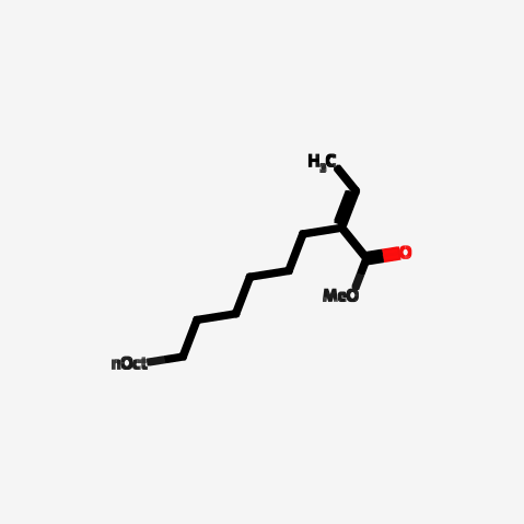 C/C=C(\CCCCCCCCCCCCCC)C(=O)OC